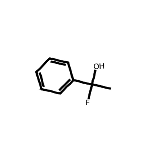 CC(O)(F)c1c[c]ccc1